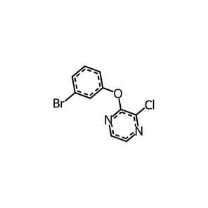 Clc1nccnc1Oc1cccc(Br)c1